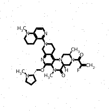 C=C(F)C(=O)N1C[C@@H]2C(=O)N(C)c3c(OC[C@@H]4CCCN4C)nc4c(c3N2C[C@H]1C)CCN(c1nccc2c1CCCN2C)C4